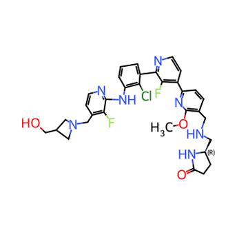 COc1nc(-c2ccnc(-c3cccc(Nc4nccc(CN5CC(CO)C5)c4F)c3Cl)c2F)ccc1CNC[C@H]1CCC(=O)N1